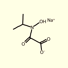 CC(C)N(O)C(=O)C(=O)[O-].[Na+]